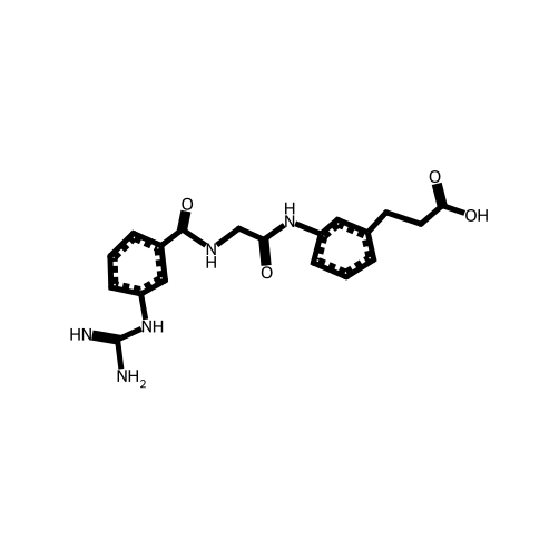 N=C(N)Nc1cccc(C(=O)NCC(=O)Nc2cccc(CCC(=O)O)c2)c1